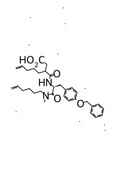 C=CCCCCN(C)C(=O)[C@H](Cc1ccc(OCc2ccccc2)cc1)NC(=O)C(CCCC=C)CC(=O)O